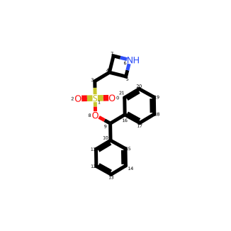 O=S(=O)(CC1CNC1)OC(c1ccccc1)c1ccccc1